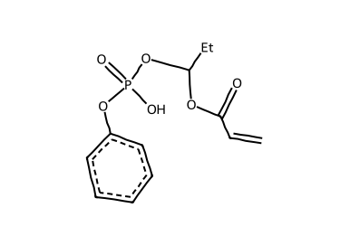 C=CC(=O)OC(CC)OP(=O)(O)Oc1ccccc1